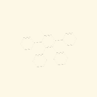 Cc1[c]c(-c2ccccc2)c(-c2ccccc2)c(-c2ccccc2)c1-c1ccccc1